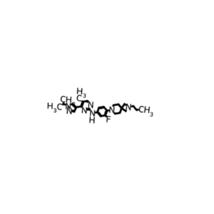 CCCN1CC2(CCN(c3ccc(Nc4ncc(C)c(-c5cnn(C(C)C)c5)n4)cc3F)CC2)C1